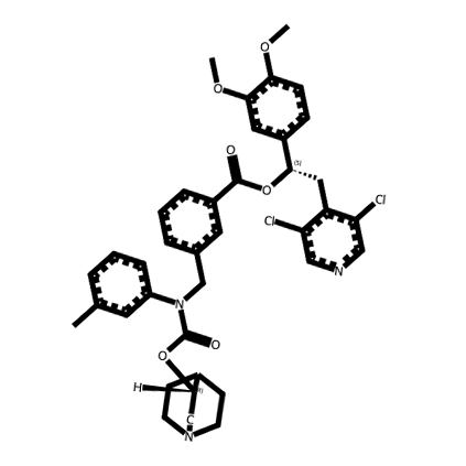 COc1ccc([C@H](Cc2c(Cl)cncc2Cl)OC(=O)c2cccc(CN(C(=O)O[C@H]3CN4CCC3CC4)c3cccc(C)c3)c2)cc1OC